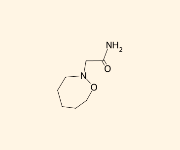 NC(=O)CN1CCCCCO1